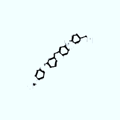 ClCc1ccc(Oc2cccc(Cc3cccc(Oc4ccc(CCl)cc4)c3)c2)cc1